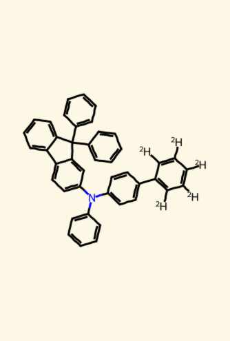 [2H]c1c([2H])c([2H])c(-c2ccc(N(c3ccccc3)c3ccc4c(c3)C(c3ccccc3)(c3ccccc3)c3ccccc3-4)cc2)c([2H])c1[2H]